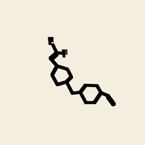 C=CC1CCC(CC2CCC(C=C(F)F)CC2)CC1